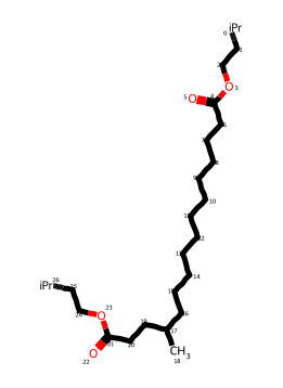 CC(C)CCOC(=O)CCCCCCCCCCCC(C)CCC(=O)OCCC(C)C